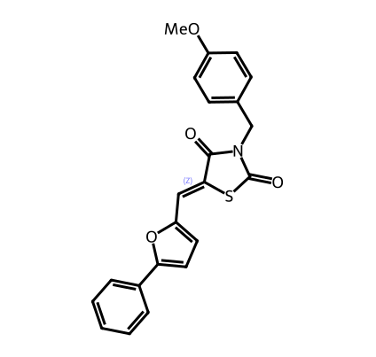 COc1ccc(CN2C(=O)S/C(=C\c3ccc(-c4ccccc4)o3)C2=O)cc1